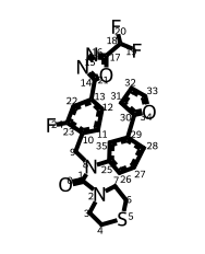 O=C(N1CCSCC1)N(Cc1ccc(-c2nnc(C(F)F)o2)cc1F)c1cccc(-c2ccco2)c1